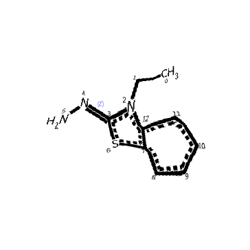 CCn1/c(=N/N)sc2ccccc21